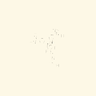 Cn1ccnc1-c1cccc(Oc2nc(Oc3cc(C(=N)N)ccc3O)c(F)c(N3CCN(CC(=O)O)CC3)c2F)c1